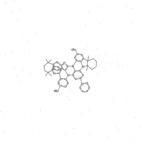 CC(C)(C)c1ccc(N2c3cc(-c4ccccc4)cc4c3B(c3cc(C(C)(C)C)cc5c3N4C3(C)CCCCC53C)c3oc4cc5c(cc4c32)C(C)(C)CCC5(C)C)c(-c2ccccc2)c1